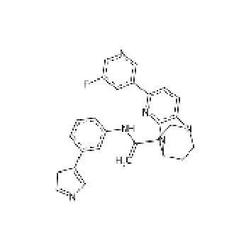 C=C(Nc1cccc(C2=CN=CC2)c1)N1c2nc(-c3cncc(F)c3)ccc2N2CCC1CC2